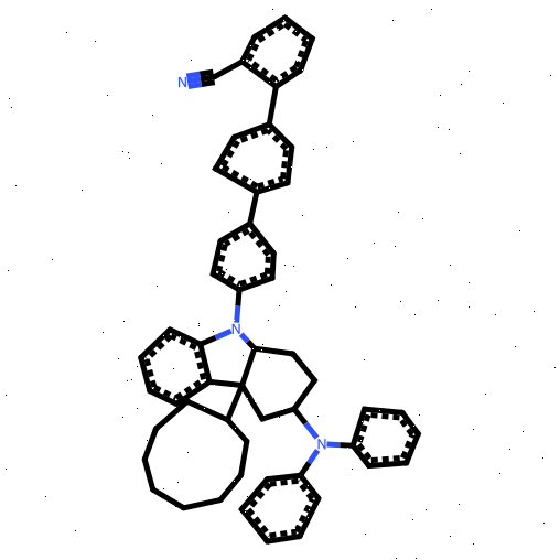 N#Cc1ccccc1-c1ccc(-c2ccc(N3c4ccccc4C4(C5CCCCCCCC5)CC(N(c5ccccc5)c5ccccc5)CCC34)cc2)cc1